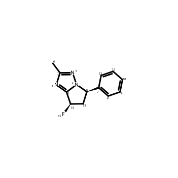 Cc1nc2n(n1)[C@@H](c1ccccc1)C[C@H]2F